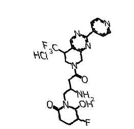 Cl.NC(CC(=O)N1Cc2nc(-c3ccncc3)ncc2C(C(F)(F)F)C1)CN1C(=O)CCC(F)C1O